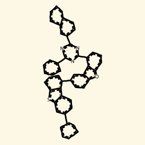 c1ccc(-c2ccc3c(c2)sc2cccc(-c4ccc5oc6cccc(-c7nc(-c8ccccc8)nc(-c8ccc9ccccc9c8)n7)c6c5c4)c23)cc1